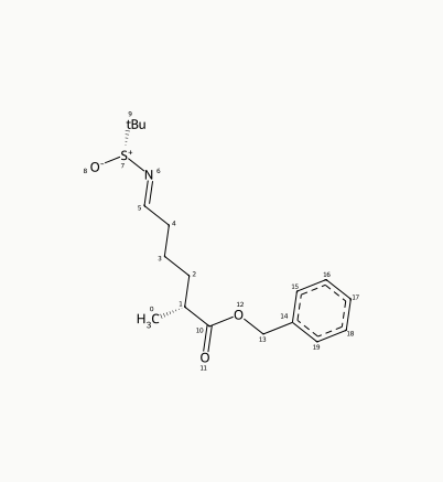 C[C@H](CCC/C=N/[S@+]([O-])C(C)(C)C)C(=O)OCc1ccccc1